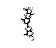 CSc1nc(Cl)c2nc(-c3cc(C)c(OC(C(=O)O)C(C)(C)C)c(C)c3)oc2n1